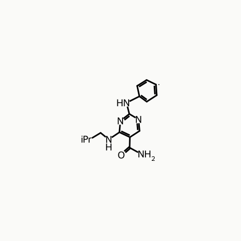 CC(C)CNc1nc(Nc2cc[c]cc2)ncc1C(N)=O